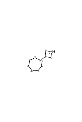 C1C[N]CCN(C2CNC2)C1